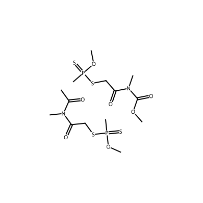 COC(=O)N(C)C(=O)CSP(C)(=S)OC.COP(C)(=S)SCC(=O)N(C)C(C)=O